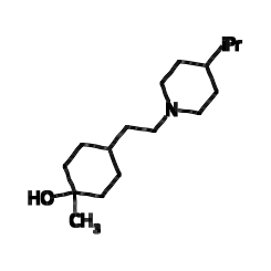 CC(C)C1CCN(CCC2CCC(C)(O)CC2)CC1